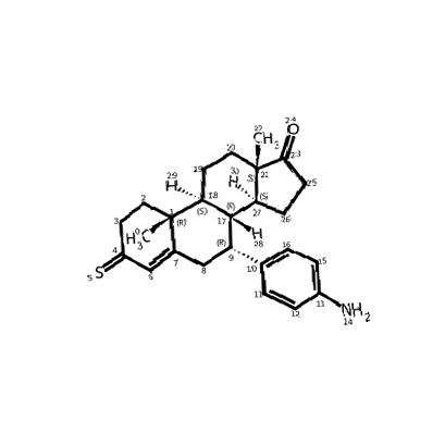 C[C@]12CCC(=S)C=C1C[C@@H](c1ccc(N)cc1)[C@@H]1[C@@H]2CC[C@]2(C)C(=O)CC[C@@H]12